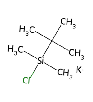 CC(C)(C)[Si](C)(C)Cl.[K]